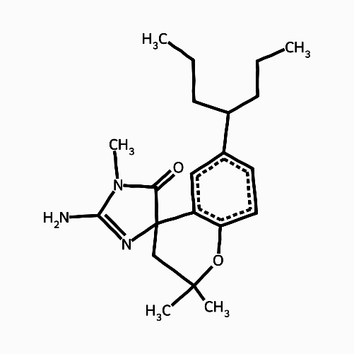 CCCC(CCC)c1ccc2c(c1)C1(CC(C)(C)O2)N=C(N)N(C)C1=O